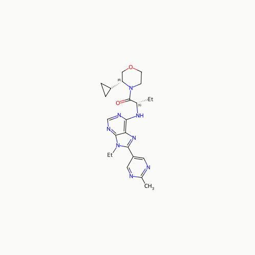 CC[C@H](Nc1ncnc2c1nc(-c1cnc(C)nc1)n2CC)C(=O)N1CCOC[C@H]1C1CC1